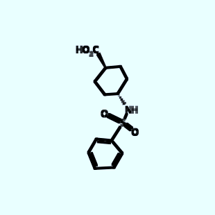 O=C(O)[C@H]1CC[C@H](NS(=O)(=O)c2ccccc2)CC1